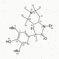 CCCCc1cc(C(C)(CC)C(=O)N(CC)C2CC(C)(C)N(C)C(C)(C)C2)cc(CCCC)c1O